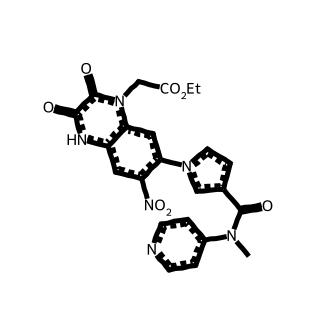 CCOC(=O)Cn1c(=O)c(=O)[nH]c2cc([N+](=O)[O-])c(-n3ccc(C(=O)N(C)c4ccncc4)c3)cc21